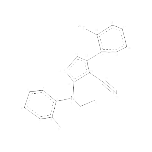 CCN(c1ccccc1C)c1scc(-c2ccccc2F)c1C#N